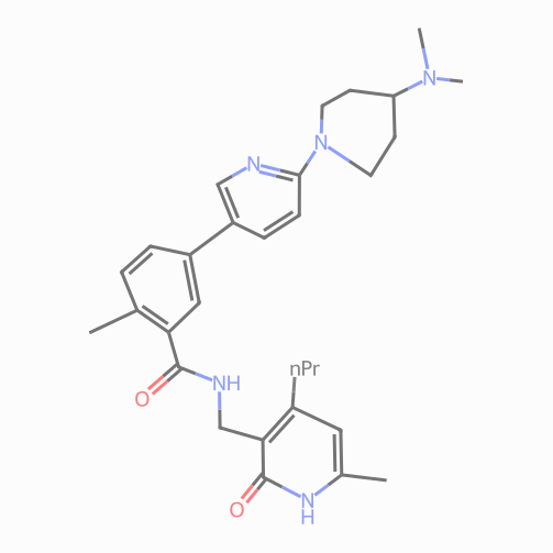 CCCc1cc(C)[nH]c(=O)c1CNC(=O)c1cc(-c2ccc(N3CCC(N(C)C)CC3)nc2)ccc1C